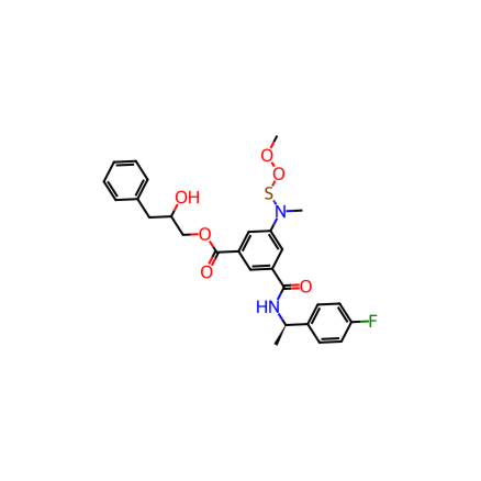 COOSN(C)c1cc(C(=O)N[C@H](C)c2ccc(F)cc2)cc(C(=O)OCC(O)Cc2ccccc2)c1